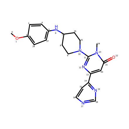 COc1ccc(NC2CCN(c3nc(-c4ccncn4)cc(=O)n3C)CC2)cc1